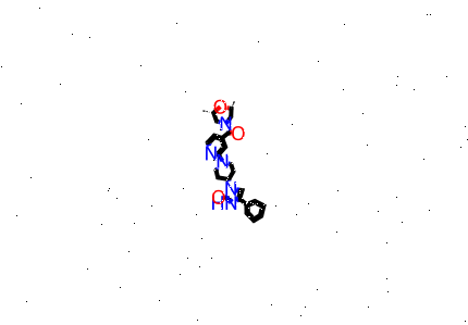 C[C@@H]1CN(C(=O)c2ccnc(N3CCC(n4cc(-c5ccccc5)[nH]c4=O)CC3)c2)C[C@H](C)O1